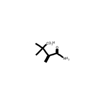 C=C(C(N)=O)C(C)(C)C(=O)O